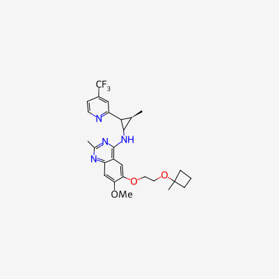 COc1cc2nc(C)nc(NC3C(c4cc(C(F)(F)F)ccn4)[C@H]3C)c2cc1OCCOC1(C)CCC1